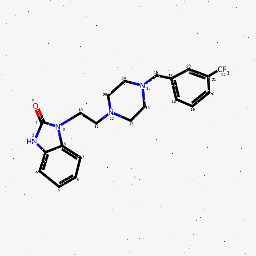 O=c1[nH]c2ccccc2n1CCN1CCN(Cc2cccc(C(F)(F)F)c2)CC1